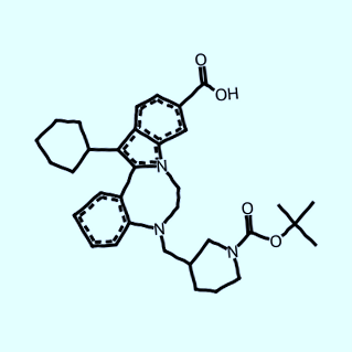 CC(C)(C)OC(=O)N1CCCC(CN2CCn3c(c(C4CCCCC4)c4ccc(C(=O)O)cc43)-c3ccccc32)C1